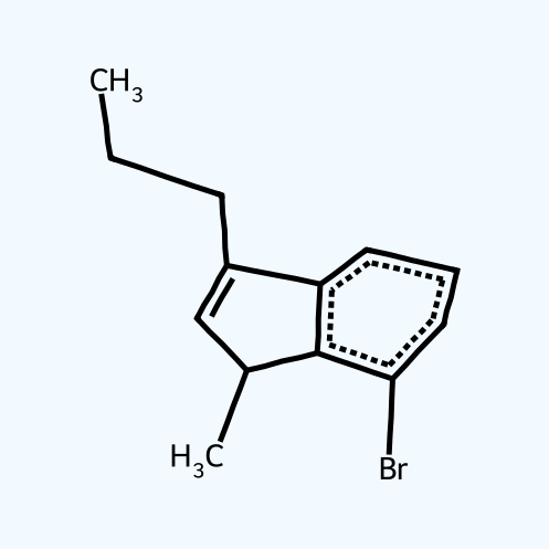 CCCC1=CC(C)c2c(Br)cccc21